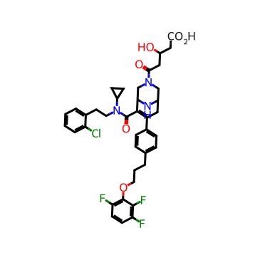 O=C(O)CC(O)CC(=O)N1CC2CC(c3ccc(CCCOc4c(F)ccc(F)c4F)cc3)=C(C(=O)N(CCc3ccccc3Cl)C3CC3)C(C1)N2